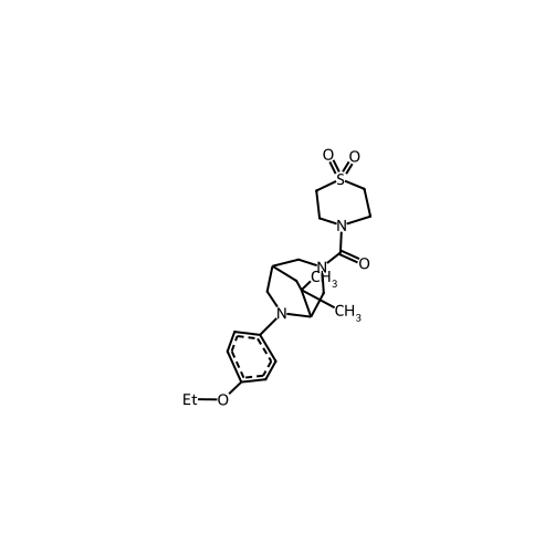 CCOc1ccc(N2CC3CN(C(=O)N4CCS(=O)(=O)CC4)CC2C(C)(C)C3)cc1